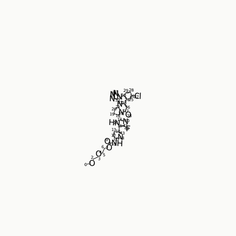 COCCOCCOC(=O)Nc1ccc(-c2[nH]c([C@@H]3CCc4nc(-c5cc(Cl)ccc5-n5cnnn5)cc(=O)n43)nc2F)cn1